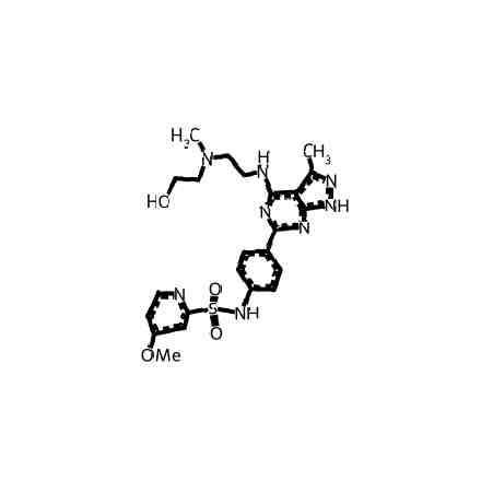 COc1ccnc(S(=O)(=O)Nc2ccc(-c3nc(NCCN(C)CCO)c4c(C)n[nH]c4n3)cc2)c1